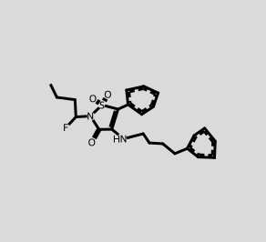 CCCC(F)N1C(=O)C(NCCCCc2ccccc2)=C(c2ccccc2)S1(=O)=O